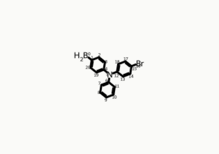 Bc1ccc(N(c2ccccc2)c2ccc(Br)cc2)cc1